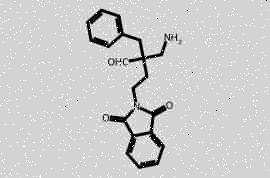 NCC(C=O)(CCN1C(=O)c2ccccc2C1=O)Cc1ccccc1